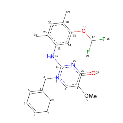 COc1cn(CC2=CC=CCC2)c(Nc2cc(OC(F)F)c(C)cc2C)nc1=O